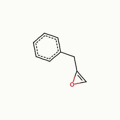 C1=C(Cc2ccccc2)O1